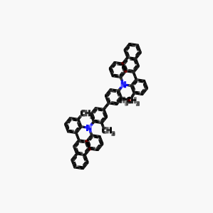 Cc1cc(-c2ccc(N(c3ccccc3)c3c(C)cccc3-c3ccc4ccccc4c3)c(C)c2)ccc1N(c1ccccc1)c1c(C)cccc1-c1ccc2ccccc2c1